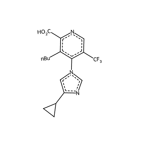 CCCCc1c(C(=O)O)ncc(C(F)(F)F)c1-n1cnc(C2CC2)c1